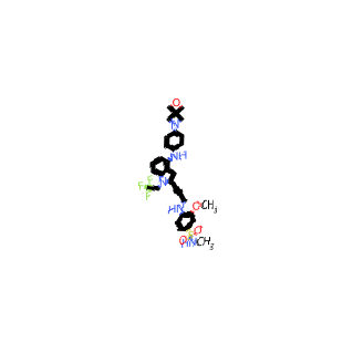 CNS(=O)(=O)c1ccc(NCC#Cc2cc3c(N[C@H]4CC[C@H](N5CC6(COC6)C5)CC4)cccc3n2CC(F)(F)F)c(OC)c1